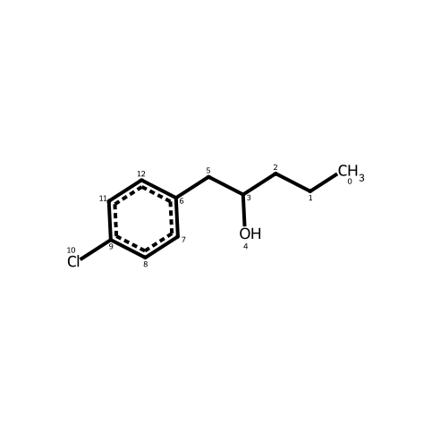 CCCC(O)Cc1ccc(Cl)cc1